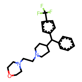 FC(F)(F)c1ccc(C(c2ccccc2)C2CCN(CCN3CCOCC3)CC2)cc1